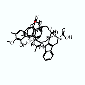 COc1c(C)cc2c(c1O)[C@H]1[C@@H]3[C@@H]4SC[C@]5(N[C@H](C(=O)O)Cc6c5[nH]c5ccccc65)C(=O)OC[C@@H](c5c6c(c(C)c(OC(C)=O)c54)OCO6)N3C(C#N)(C2)CN1C